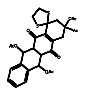 CC(=O)OC1c2ccccc2C(OC(C)=O)C2C(=O)C3=C(CC(OC(C)=O)(C(C)=O)CC34SCCS4)C(=O)C12